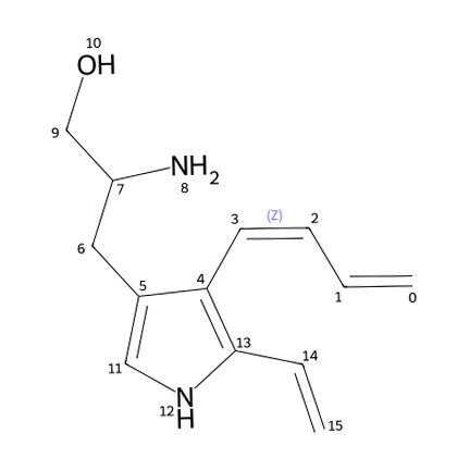 C=C/C=C\c1c(CC(N)CO)c[nH]c1C=C